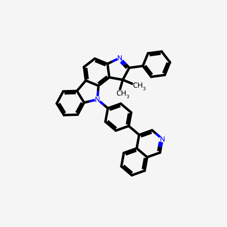 CC1(C)C(c2ccccc2)=Nc2ccc3c4ccccc4n(-c4ccc(-c5cncc6ccccc56)cc4)c3c21